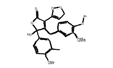 COc1ccc(C2(O)OC(=O)C(C3=CCOO3)=C2Cc2ccc(OC(C)C)c(OC)c2)cc1C